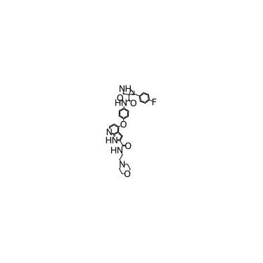 NC(=O)C1(C(=O)Nc2ccc(Oc3ccnc4[nH]c(C(=O)NCCN5CCOCC5)cc34)cc2)CC1c1ccc(F)cc1